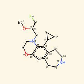 CCO[C@@H](CF)CN1CCOc2cc3c(c(C4CC4)c21)CCNCC3